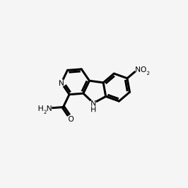 NC(=O)c1nccc2c1[nH]c1ccc([N+](=O)[O-])cc12